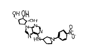 O=[N+]([O-])c1ccc(N2CCC(Nc3ncnc4c3ncn4[C@@H]3C[C@H](CO)[C@@H](O)[C@H]3O)C2)cc1